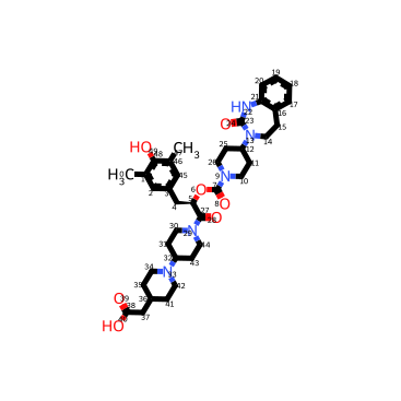 Cc1cc(C[C@@H](OC(=O)N2CCC(N3CCc4ccccc4NC3=O)CC2)C(=O)N2CCC(N3CCC(CC(=O)O)CC3)CC2)cc(C)c1O